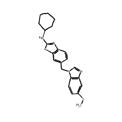 COc1ccc2c(c1)ncn2Cc1ccc2nc(NC3CCCCC3)sc2c1